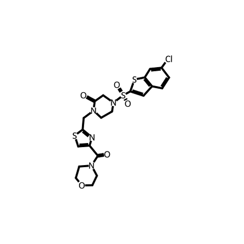 O=C1CN(S(=O)(=O)c2cc3ccc(Cl)cc3s2)CCN1Cc1nc(C(=O)N2CCOCC2)cs1